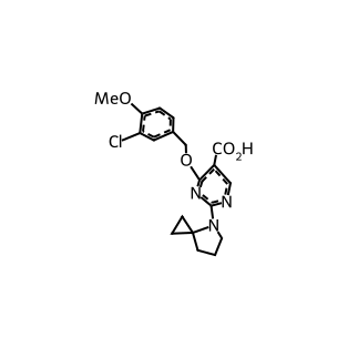 COc1ccc(COc2nc(N3CCCC34CC4)ncc2C(=O)O)cc1Cl